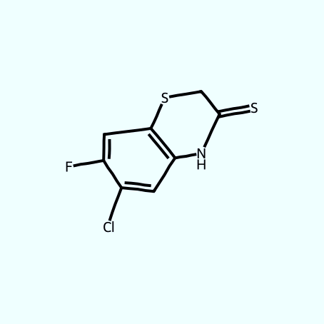 Fc1cc2c(cc1Cl)NC(=S)CS2